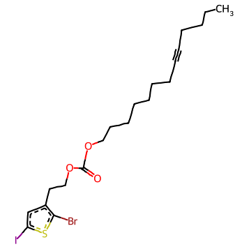 CCCCC#CCCCCCCCOC(=O)OCCc1cc(I)sc1Br